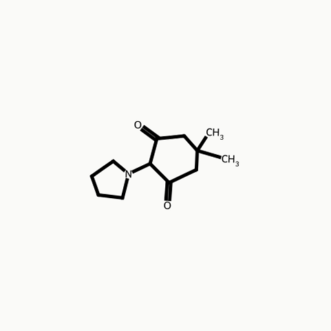 CC1(C)CC(=O)C(N2CCCC2)C(=O)C1